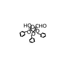 C[C@]1(O)O[C@H](C=O)[C@@H](OCc2ccccc2)[C@H](OCc2ccccc2)[C@H]1OCc1ccccc1